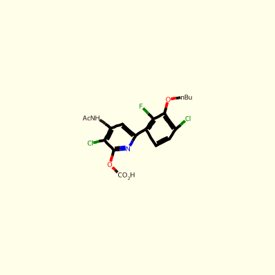 CCCCOc1c(Cl)ccc(-c2cc(NC(C)=O)c(Cl)c(OC(=O)O)n2)c1F